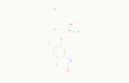 CCOC(=O)C(C)(C)OC(=O)c1cc(N=C=O)c(F)cc1Cl